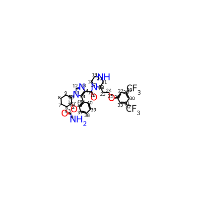 C[C@]1(OC(N)=O)CCCC[C@@H]1n1cnc(C(=O)N2CCNC[C@H]2CCOc2cc(C(F)(F)F)cc(C(F)(F)F)c2)c1-c1ccccc1